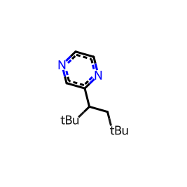 CC(C)(C)CC(c1cnccn1)C(C)(C)C